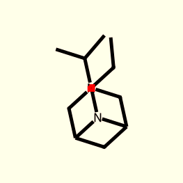 CCCN1C2CC1CN(C(C)C)C2